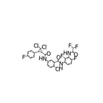 O=C(Nc1ccc(F)c(NC(=O)C(F)F)c1F)c1cc(NC(=O)C2C(c3ccc(F)cc3)C2(Cl)Cl)ccc1Cl